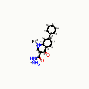 CCn1cc(C(=O)NN)c(=O)c2ccc(-c3ccccc3)cc21